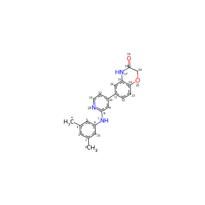 Cc1cc(C)cc(Nc2cc(-c3ccc4c(c3)NC(=O)CO4)ccn2)c1